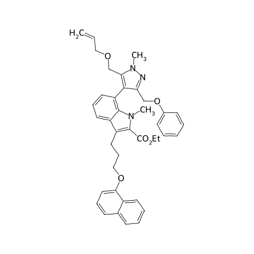 C=CCOCc1c(-c2cccc3c(CCCOc4cccc5ccccc45)c(C(=O)OCC)n(C)c23)c(COc2ccccc2)nn1C